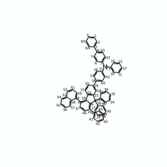 c1ccc(-c2ccc(N(c3ccccc3)c3ccc(-c4ccc5c(c4)C(c4ccccc4)(c4ccccc4)c4c(-c6ccccc6)ccc(-c6cccc7ccccc67)c4-5)cc3)cc2)cc1